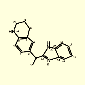 CC(c1ccc2c(c1)CCCN2)c1nc2ccccc2[nH]1